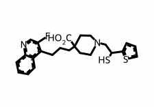 O=C(O)C1(CCCc2c(F)cnc3ccccc23)CCN(CC(S)c2cccs2)CC1